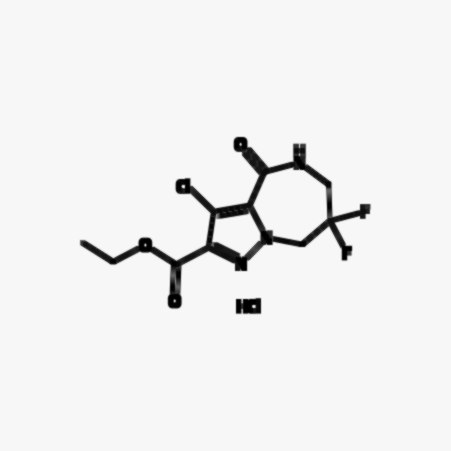 CCOC(=O)c1nn2c(c1Cl)C(=O)NCC(F)(F)C2.Cl